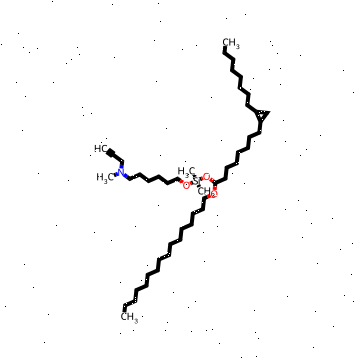 C#CCN(C)CCCCCCO[Si](C)(C)OC(CCCCCCCC1CC1CCCCCCCC)OCCCCCCCCCCCCCCCC